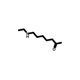 CCNCCCCCC(C)=O